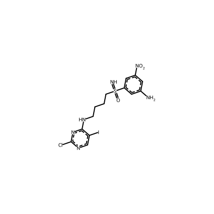 N=S(=O)(CCCCNc1nc(Cl)ncc1I)c1cc(N)cc([N+](=O)[O-])c1